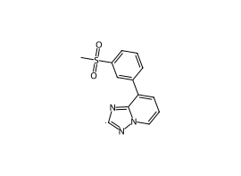 CS(=O)(=O)c1cccc(-c2cccn3n[c]nc23)c1